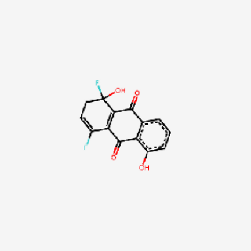 O=C1C2=C(C(=O)c3c(O)cccc31)C(F)=CCC2(O)F